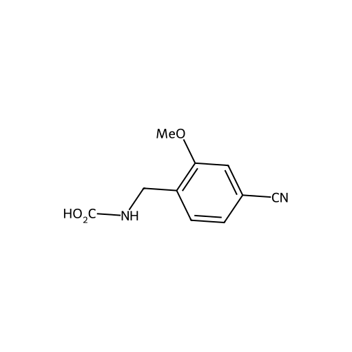 COc1cc(C#N)ccc1CNC(=O)O